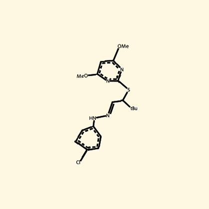 COc1cc(OC)nc(SC(C=NNc2ccc(Cl)cc2)C(C)(C)C)n1